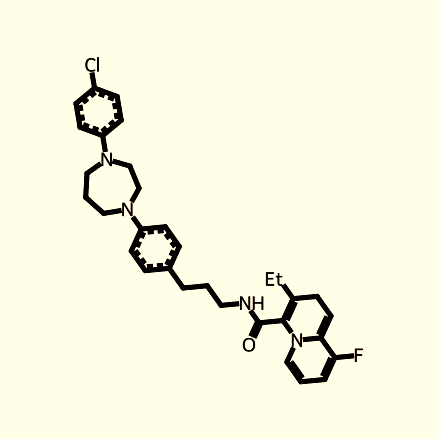 CCC1=C(C(=O)NCCCc2ccc(N3CCCN(c4ccc(Cl)cc4)CC3)cc2)N2C=CC=C(F)C2=CC1